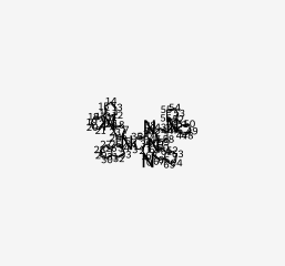 N#Cc1cc(-n2c3ccc(-n4c5ccccc5c5ccccc54)cc3c3c4ccccc4ccc32)cc(C#N)c1-n1c2ccc(-n3c4ccccc4c4ccccc43)cc2c2c3ccccc3ccc21